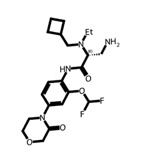 CCN(CC1CCC1)[C@H](CN)C(=O)Nc1ccc(N2CCOCC2=O)cc1OC(F)F